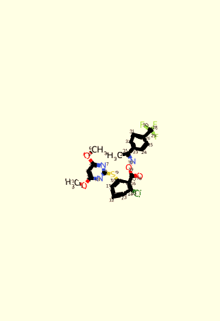 COc1cc(OC)nc(Sc2cccc(Cl)c2C(=O)O/N=C(\C)c2ccc(C(F)(F)F)cc2)n1